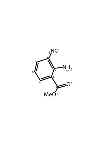 COC(=O)c1cccc(N=O)c1N